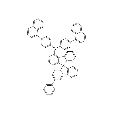 c1ccc(-c2ccc(C3(c4ccccc4)c4ccccc4-c4c(N(c5ccc(-c6cccc7ccccc67)cc5)c5ccc(-c6cccc7ccccc67)cc5)cccc43)cc2)cc1